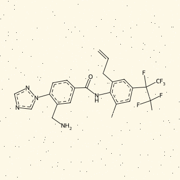 C=CCc1cc(C(F)(C(C)(F)F)C(F)(F)F)cc(C)c1NC(=O)c1ccc(-n2cncn2)c(CN)c1